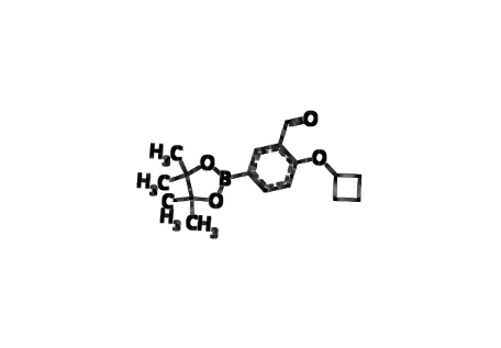 CC1(C)OB(c2ccc(OC3CCC3)c(C=O)c2)OC1(C)C